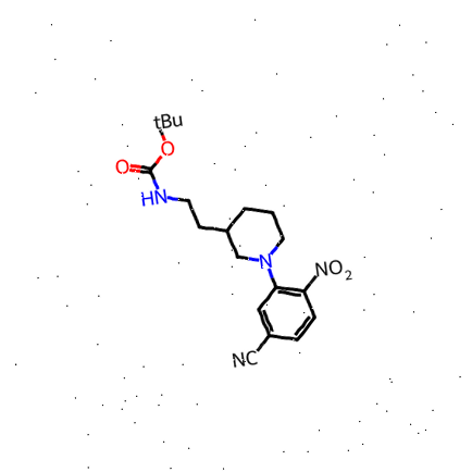 CC(C)(C)OC(=O)NCCC1CCCN(c2cc(C#N)ccc2[N+](=O)[O-])C1